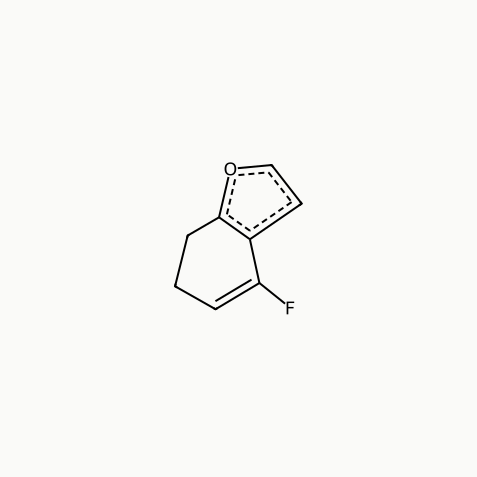 FC1=CCCc2occc21